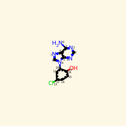 Nc1ncnc2c1ncn2-c1cc(Cl)ccc1O